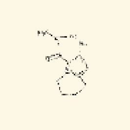 CN(C)C(=O)c1c(N)sc2c1CCCC2